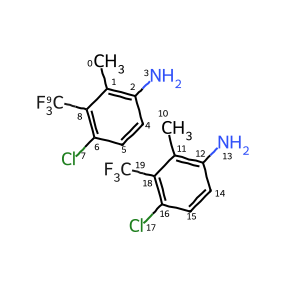 Cc1c(N)ccc(Cl)c1C(F)(F)F.Cc1c(N)ccc(Cl)c1C(F)(F)F